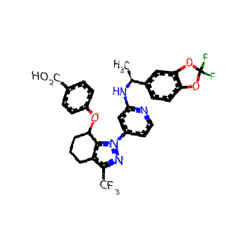 C[C@H](Nc1cc(-n2nc(C(F)(F)F)c3c2C(Oc2ccc(C(=O)O)cc2)CCC3)ccn1)c1ccc2c(c1)OC(F)(F)O2